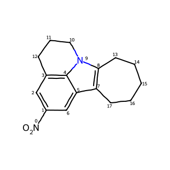 O=[N+]([O-])c1cc2c3c(c1)c1c(n3CCC2)CCCCC1